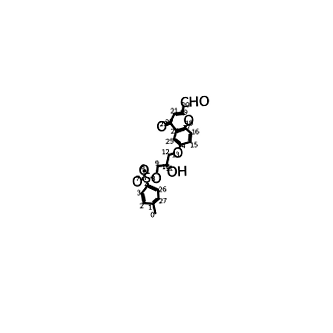 Cc1ccc(S(=O)(=O)OCC(O)COc2ccc3oc(C=O)cc(=O)c3c2)cc1